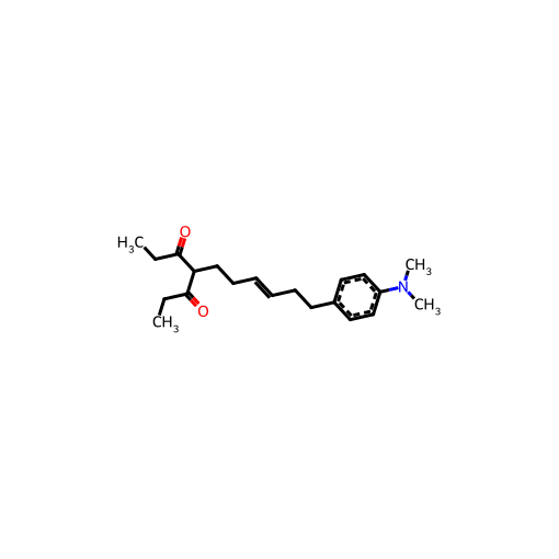 CCC(=O)C(CCC=CCCc1ccc(N(C)C)cc1)C(=O)CC